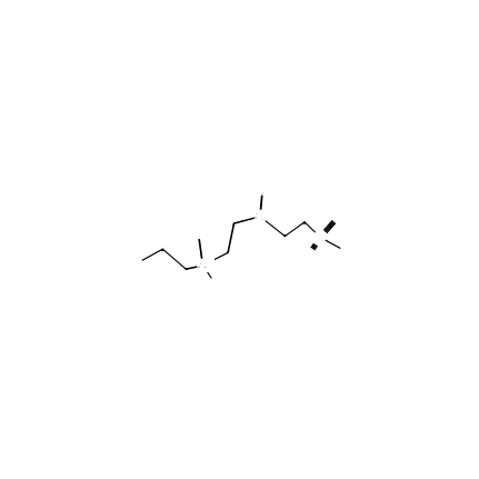 CCC[N+](C)(C)CCN(C)CCS(=O)(=O)O